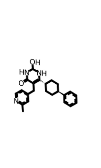 Cc1cc(CC2=C([C@H]3CC[C@H](c4ccccc4)CC3)NC(O)NC2=O)ccn1